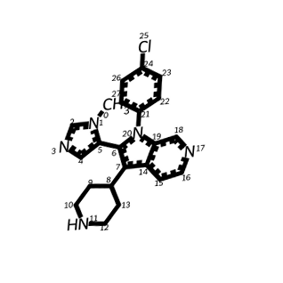 Cn1cncc1-c1c(C2CCNCC2)c2ccncc2n1-c1ccc(Cl)cc1